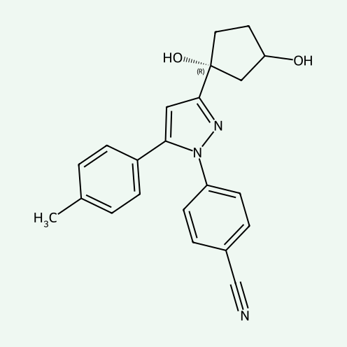 Cc1ccc(-c2cc([C@@]3(O)CCC(O)C3)nn2-c2ccc(C#N)cc2)cc1